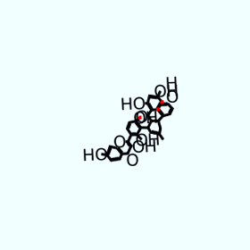 CC1=CC(c2c(O)ccc(-c3oc4cc(O)ccc4c(=O)c3O)c2O)C(C(=O)c2ccc(O)cc2O)C(c2ccc(O)cc2)C1